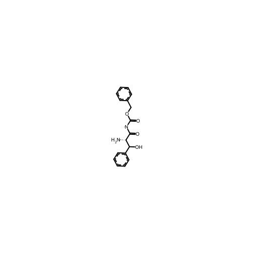 N[C@H](C(=O)[N]C(=O)OCc1ccccc1)C(O)c1ccccc1